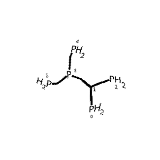 PC(P)P(P)P